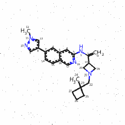 C=C(Nc1cc2cc(-c3cnn(C)c3)ccc2cn1)C1CN(CC2(C)CCC2)C1